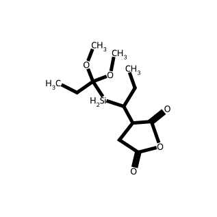 CCC([SiH2]C(CC)(OC)OC)C1CC(=O)OC1=O